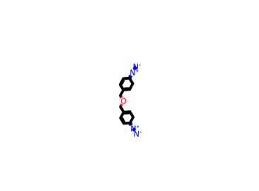 [N-]=[N+]=C1C=CC(COCC2=CCC(=[N+]=[N-])C=C2)=CC1